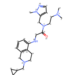 CN(C)CCN(Cc1ccnn1C)C(=O)CNc1cccc2c1CCN(CC1CC1)C2